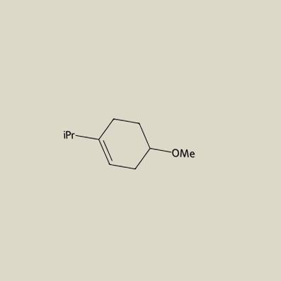 COC1CC=C(C(C)C)CC1